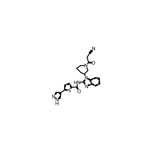 N#CCC(=O)N1CCCC(n2c(NC(=O)c3ccc(-c4cn[nH]c4)s3)nc3ccccc32)C1